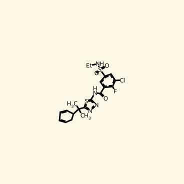 CCNS(=O)(=O)c1cc(Cl)c(F)c(C(=O)Nc2nnc(C(C)(C)C3C=CC=CC3)s2)c1